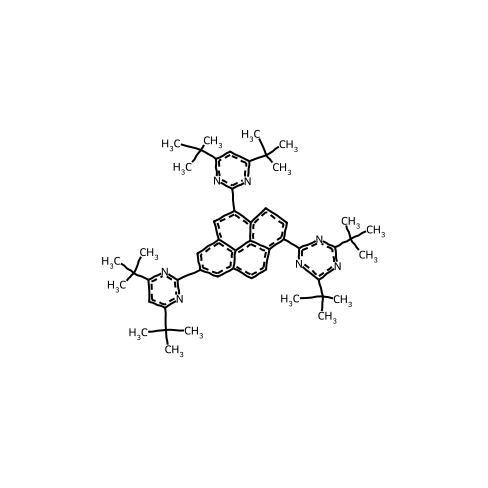 CC(C)(C)c1cc(C(C)(C)C)nc(-c2cc3ccc4c(-c5nc(C(C)(C)C)nc(C(C)(C)C)n5)ccc5c(-c6nc(C(C)(C)C)cc(C(C)(C)C)n6)cc(c2)c3c54)n1